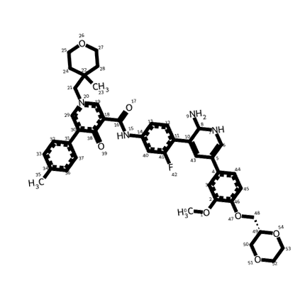 COc1cc(C2=CNC(N)C(c3ccc(NC(=O)c4cn(CC5(C)CCOCC5)cc(-c5ccc(C)cc5)c4=O)cc3F)=C2)ccc1OC[C@H]1COCCO1